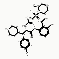 COC(=O)N[C@H](C(=O)Nc1cccc(F)c1CC[C@H]1CNC[C@H](C)N1S(C)(=O)=O)[C@@H](c1ccc(Cl)cc1)C1CCOCC1